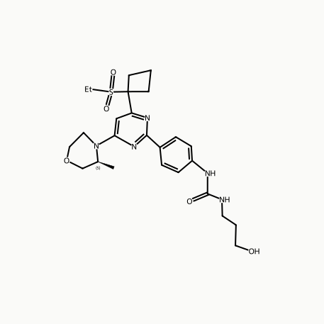 CCS(=O)(=O)C1(c2cc(N3CCOC[C@@H]3C)nc(-c3ccc(NC(=O)NCCCO)cc3)n2)CCC1